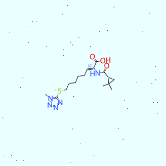 Cn1nnnc1SCCCCC/C=C(\NC(=O)C1CC1(C)C)C(=O)O